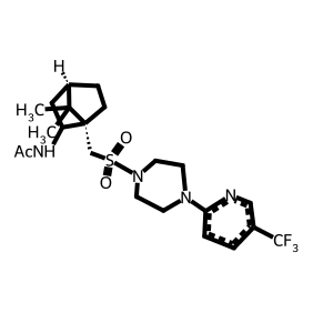 CC(=O)NC1C[C@H]2CC[C@]1(CS(=O)(=O)N1CCN(c3ccc(C(F)(F)F)cn3)CC1)C2(C)C